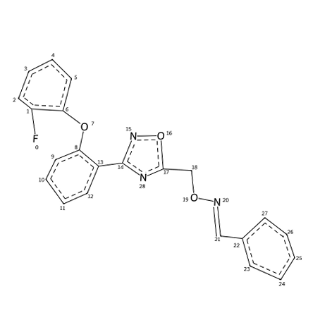 Fc1ccccc1Oc1ccccc1-c1noc(CON=Cc2ccccc2)n1